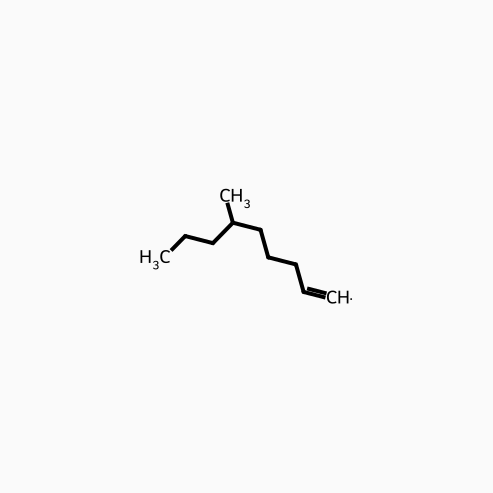 [CH]=CCCCC(C)CCC